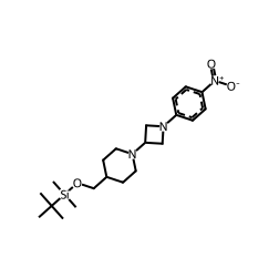 CC(C)(C)[Si](C)(C)OCC1CCN(C2CN(c3ccc([N+](=O)[O-])cc3)C2)CC1